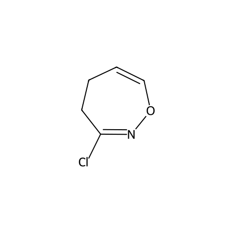 ClC1=NOC=CCC1